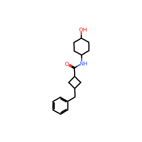 O=C(NC1CCC(O)CC1)C1CC(Cc2ccccc2)C1